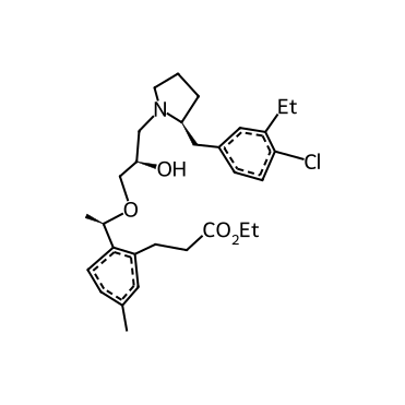 CCOC(=O)CCc1cc(C)ccc1[C@@H](C)OC[C@H](O)CN1CCC[C@H]1Cc1ccc(Cl)c(CC)c1